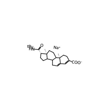 CC(C)(C)NC(=O)[C@H]1CCC2C3CC=C4C=C(C(=O)[O-])CC[C@]4(C)C3CC[C@@]21C.[Na+]